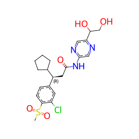 CS(=O)(=O)c1ccc([C@H](CC(=O)Nc2cnc(C(O)CO)cn2)C2CCCC2)cc1Cl